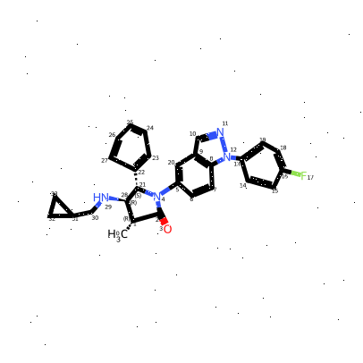 C[C@H]1C(=O)N(c2ccc3c(cnn3-c3ccc(F)cc3)c2)[C@@H](c2ccccc2)[C@@H]1NCC1CC1